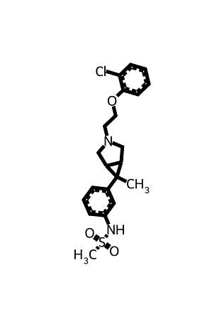 CC1(c2cccc(NS(C)(=O)=O)c2)C2CN(CCOc3ccccc3Cl)CC21